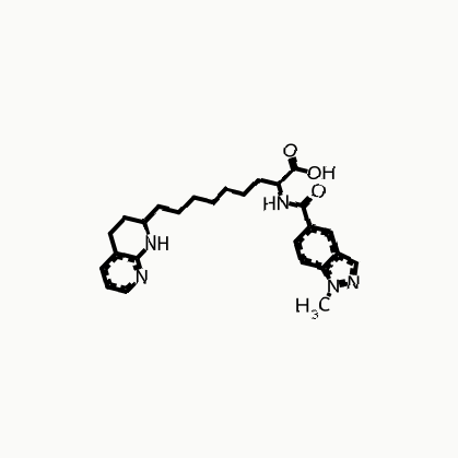 Cn1ncc2cc(C(=O)NC(CCCCCCCC3CCc4cccnc4N3)C(=O)O)ccc21